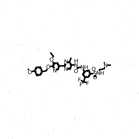 CCOc1cc(-c2ncc(NC(=O)Nc3cc(C(F)(F)F)cc(S(=O)(=O)NCCN(C)C)c3)c(C)n2)cnc1OCc1ccc(OC)cc1